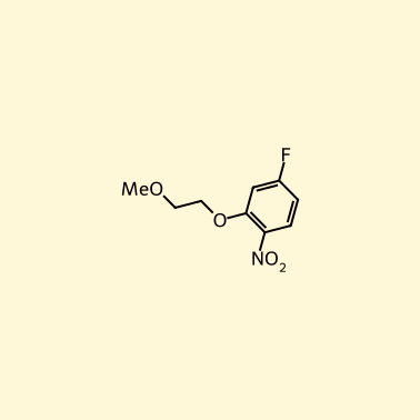 COCCOc1cc(F)ccc1[N+](=O)[O-]